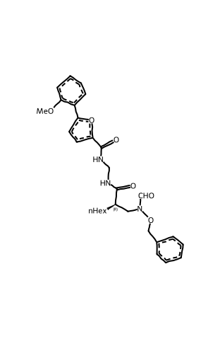 CCCCCC[C@H](CN(C=O)OCc1ccccc1)C(=O)NCNC(=O)c1ccc(-c2ccccc2OC)o1